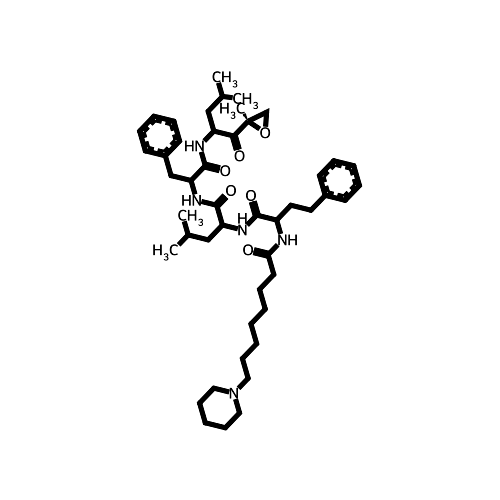 CC(C)CC(NC(=O)C(CCc1ccccc1)NC(=O)CCCCCCCN1CCCCC1)C(=O)NC(Cc1ccccc1)C(=O)NC(CC(C)C)C(=O)[C@@]1(C)CO1